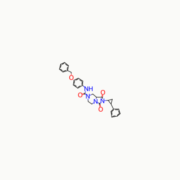 O=C(Nc1ccc(OCc2ccccc2)cc1)N1CCN2C(=O)N(C3CC3c3ccccc3)C(=O)C2C1